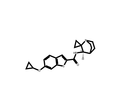 O=C(N[C@@H]1C2CCN(CC2)C12CC2)c1cc2ccc(OC3CC3)cc2s1